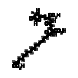 C[C@H](NC(=O)CC[C@H](NC(=O)CC[C@H](NC(=O)CCCCCCCCCCCCCCCCC(=O)O)C(=O)O)C(=O)O)C(=O)S